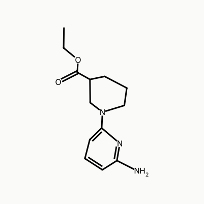 CCOC(=O)C1CCCN(c2cccc(N)n2)C1